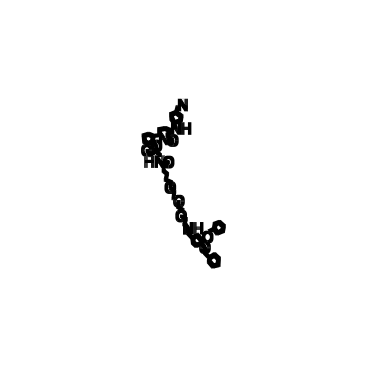 COc1nc(-c2cccc3c2OC(CNC(=O)CCCCOCCOCCOCCNCc2ccc(OCc4ccccc4)c(OCc4ccccc4)c2)CO3)ccc1Nc1ccc(CN(C)C)cc1